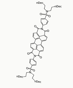 CCCCCCCCCCCCN(CCCCCCCCCCCC)S(=O)(=O)c1ccc(N2C(=O)c3ccc4c5ccc6c7c(ccc(c8ccc(c3c48)C2=O)c75)C(=O)N(c2ccc(S(=O)(=O)N(CCCCCCCCCCCC)CCCCCCCCCCCC)cc2)C6=O)cc1